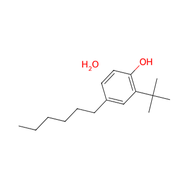 CCCCCCc1ccc(O)c(C(C)(C)C)c1.O